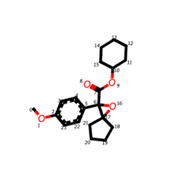 COc1ccc(C2(C(=O)OC3CCCCC3)OC23CCCC3)cc1